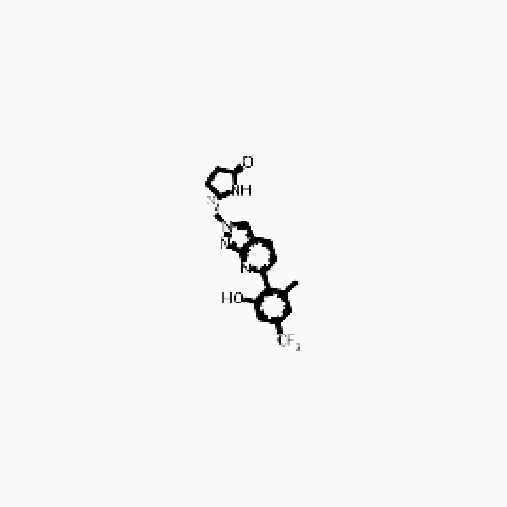 Cc1cc(C(F)(F)F)cc(O)c1-c1ccc2cn(C[C@@H]3CCC(=O)N3)nc2n1